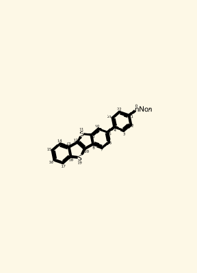 CCCCCCCCCc1ccc(-c2ccc3c(c2)sc2c4ccccc4sc32)cc1